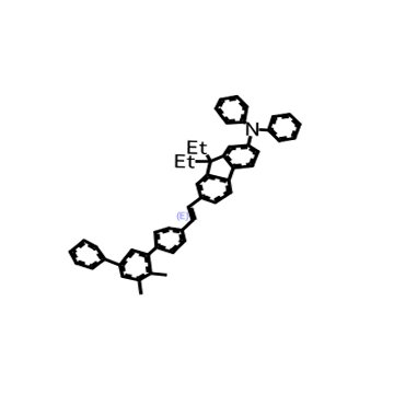 CCC1(CC)c2cc(/C=C/c3ccc(-c4cc(-c5ccccc5)cc(C)c4C)cc3)ccc2-c2ccc(N(c3ccccc3)c3ccccc3)cc21